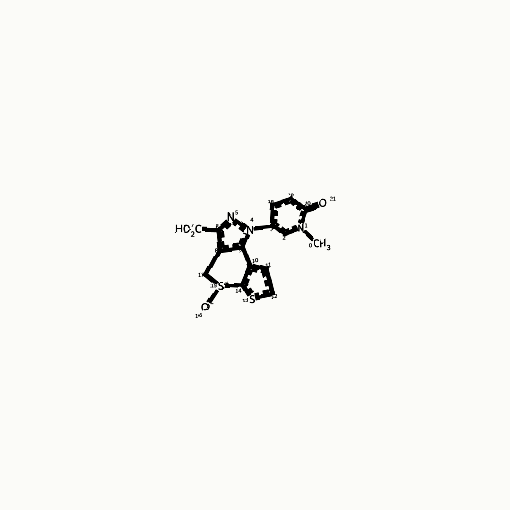 Cn1cc(-n2nc(C(=O)O)c3c2-c2ccsc2[S+]([O-])C3)ccc1=O